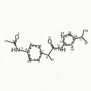 CC(=O)Nc1ccc(C(C)C(=O)Nc2ncc(C(C)C)s2)cc1